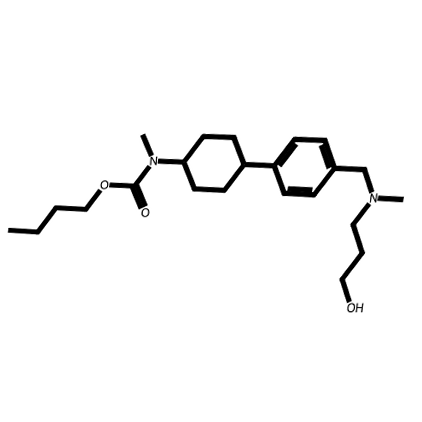 CCCCOC(=O)N(C)C1CCC(c2ccc(CN(C)CCCO)cc2)CC1